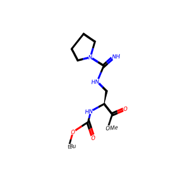 COC(=O)[C@H](CNC(=N)N1CCCC1)NC(=O)OC(C)(C)C